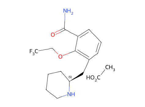 CC(=O)O.NC(=O)c1cccc(C[C@@H]2CCCCN2)c1OCC(F)(F)F